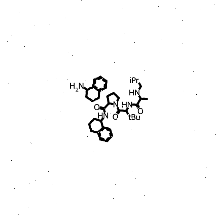 CC(C)CNC(C)C(=O)NC(C(=O)N1CCCC1C(=O)NC1CCCc2ccccc21)C(C)(C)C.NC1CCCc2ccccc21